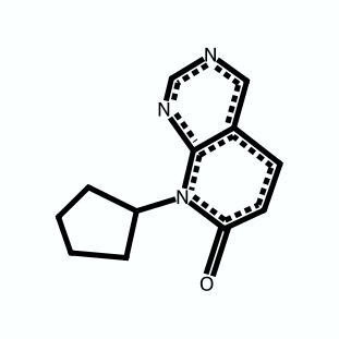 O=c1ccc2cncnc2n1C1CCCC1